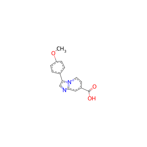 COc1ccc(-c2cnc3cc(C(=O)O)ccn23)cc1